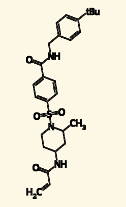 C=CC(=O)NC1CCN(S(=O)(=O)c2ccc(C(=O)NCc3ccc(C(C)(C)C)cc3)cc2)C(C)C1